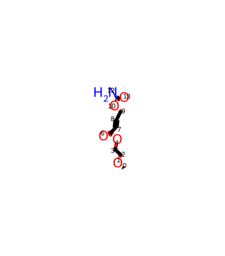 COCCOC(=O)C#CCOC(N)=O